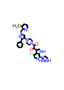 Cc1cccnc1Cn1cc(N2CCN(C(=O)C(=O)c3c[nH]c4c(N5C=CNN5)ncc(F)c34)CC2)c(-c2ccccc2)n1